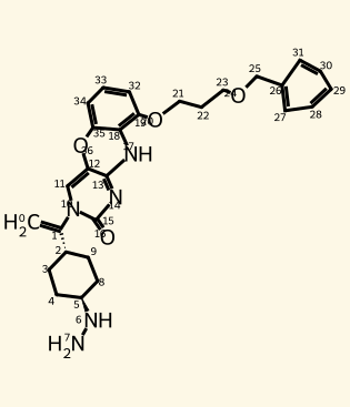 C=C([C@H]1CC[C@H](NN)CC1)n1cc2c(nc1=O)Nc1c(OCCCOCc3ccccc3)cccc1O2